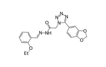 CCOc1ccccc1/C=N/NC(=O)Cn1nnnc1-c1ccc2c(c1)OCO2